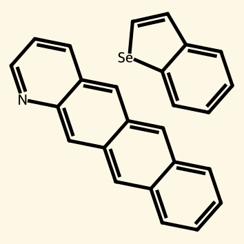 c1ccc2[se]ccc2c1.c1ccc2cc3cc4ncccc4cc3cc2c1